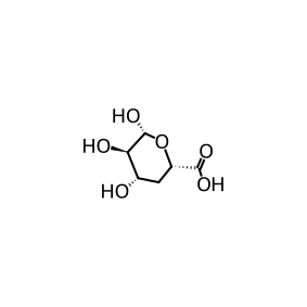 O=C(O)[C@@H]1C[C@H](O)[C@@H](O)[C@H](O)O1